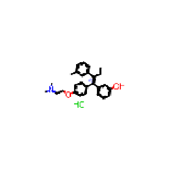 CC/C(=C(/c1ccc(OCCN(C)C)cc1)c1cccc(O)c1)c1cccc(C)c1.Cl